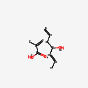 C=C(C)C(=O)O.C=CCC(O)C=CC